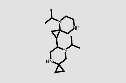 CC(C)N1CC2(CC2)NCC1C1CC12CNCCN2C(C)C